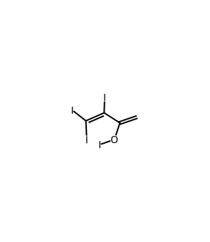 C=C(OI)C(I)=C(I)I